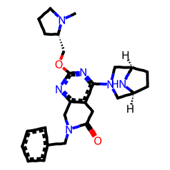 CN1CCC[C@H]1COc1nc2c(c(N3C[C@H]4CC[C@@H](C3)N4)n1)CC(=O)N(Cc1ccccc1)C2